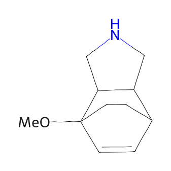 COC12C=CC(CC1)C1CNCC12